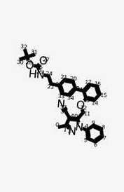 Cc1nn(-c2ccccc2)c(COc2ccccc2-c2ccc(CCNC(=O)OC(C)(C)C)cc2)c1C#N